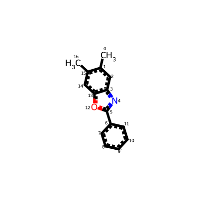 Cc1cc2nc(-c3cc[c]cc3)oc2cc1C